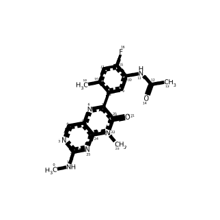 CNc1ncc2nc(-c3cc(NC(C)=O)c(F)cc3C)c(=O)n(C)c2n1